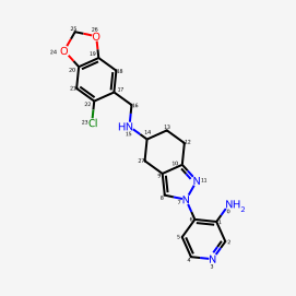 Nc1cnccc1-n1cc2c(n1)CCC(NCc1cc3c(cc1Cl)OCO3)C2